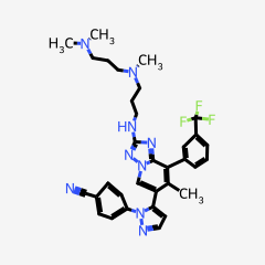 Cc1c(-c2ccnn2-c2ccc(C#N)cc2)cn2nc(NCCCN(C)CCCN(C)C)nc2c1-c1cccc(C(F)(F)F)c1